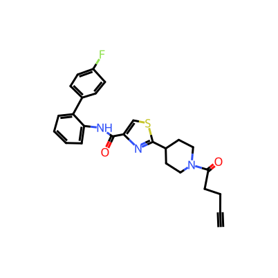 C#CCCC(=O)N1CCC(c2nc(C(=O)Nc3ccccc3-c3ccc(F)cc3)cs2)CC1